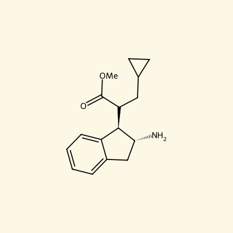 COC(=O)C(CC1CC1)[C@@H]1c2ccccc2C[C@H]1N